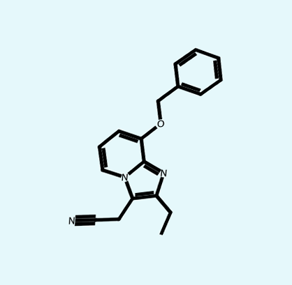 CCc1nc2c(OCc3ccccc3)cccn2c1CC#N